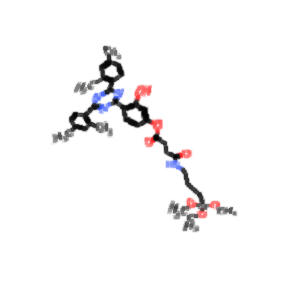 CO[Si](CCCNC(=O)CCC(=O)Oc1ccc(-c2nc(-c3ccc(C)cc3C)nc(-c3ccc(C)cc3C)n2)c(O)c1)(OC)OC